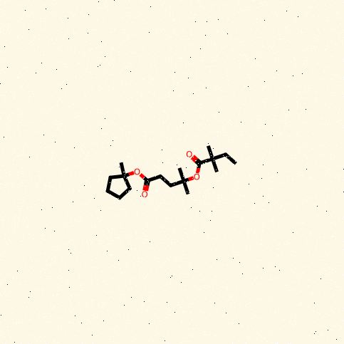 CCC(C)(C)C(=O)OC(C)(C)CCC(=O)OC1(C)CCCC1